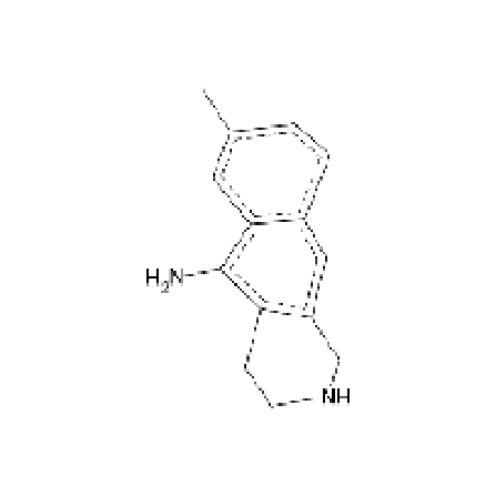 Cc1ccc2cc3c(c(N)c2c1)CCNC3